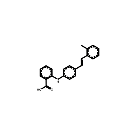 Cc1ccccc1C=Cc1ccc(Nc2ccccc2C(=O)O)cc1